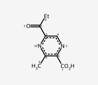 CCC(=O)c1cnc(C(=O)O)c(C)n1